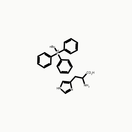 CCCC[PH](c1ccccc1)(c1ccccc1)c1ccccc1.NC(Cc1c[nH]cn1)C(=O)O